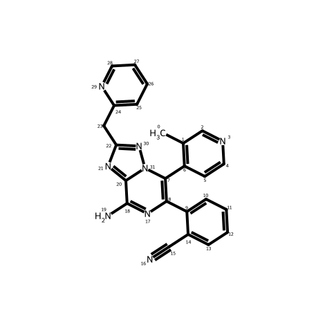 Cc1cnccc1-c1c(-c2ccccc2C#N)nc(N)c2nc(Cc3ccccn3)nn12